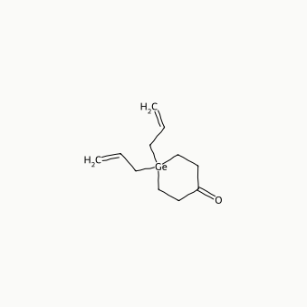 C=C[CH2][Ge]1([CH2]C=C)[CH2]CC(=O)C[CH2]1